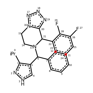 CC(C)c1n[nH]cc1C(c1ccccc1)N1CCn2nnnc2C1c1cccc(F)c1F